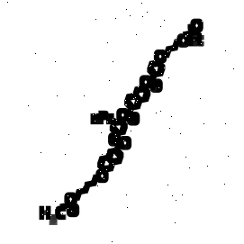 C=CC(=O)OCCCCCCOc1ccc2cc(C(=O)Oc3ccc(OC(=O)c4ccc5cc(OC(=O)c6ccc(OCCCCOCC7(CC)COC7)cc6)ccc5c4)c(CCC)c3)ccc2c1